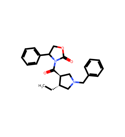 CC[C@H]1CN(Cc2ccccc2)C[C@@H]1C(=O)N1C(=O)OCC1c1ccccc1